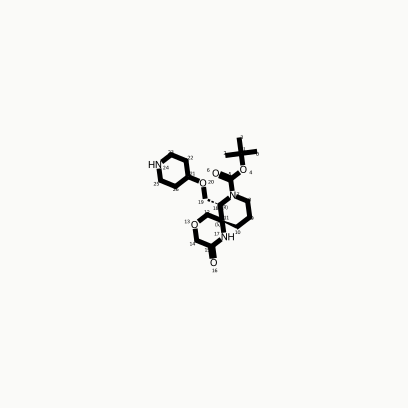 CC(C)(C)OC(=O)N1CCC[C@@]2(COCC(=O)N2)[C@@H]1COC1CCNCC1